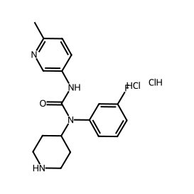 Cc1ccc(NC(=O)N(c2cccc(F)c2)C2CCNCC2)cn1.Cl.Cl